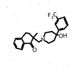 CC1(CN2CCC(O)(c3cccc(C(F)(F)F)c3)CC2)CCc2ccccc2C1=O